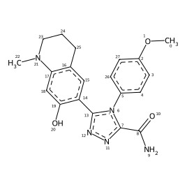 COc1ccc(-n2c(C(N)=O)nnc2-c2cc3c(cc2O)N(C)CCC3)cc1